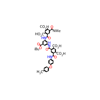 CCC(C)OC(=O)c1cc(NC(=O)c2cc(C(=O)NC)c(C(=O)O)cc2C(=O)O)cc(NC(=O)c2cc(C(=O)Nc3ccc(Oc4ccc(C)cc4)cc3)c(C(=O)O)cc2C(=O)O)c1